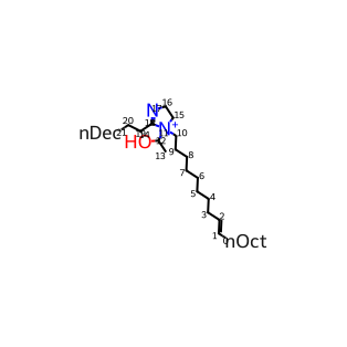 CCCCCCCCC=CCCCCCCCC[N+]1(C(C)O)CCN=C1CCCCCCCCCCCC